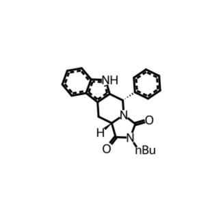 CCCCN1C(=O)[C@@H]2Cc3c([nH]c4ccccc34)[C@H](c3ccccc3)N2C1=O